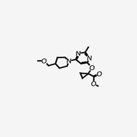 COCC1CCN(c2cc(OC3(C(=O)OC)CC3)nc(C)n2)CC1